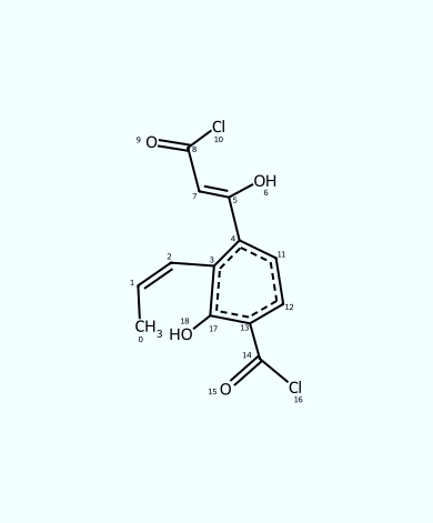 C/C=C\c1c(/C(O)=C/C(=O)Cl)ccc(C(=O)Cl)c1O